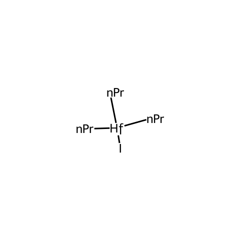 CC[CH2][Hf]([I])([CH2]CC)[CH2]CC